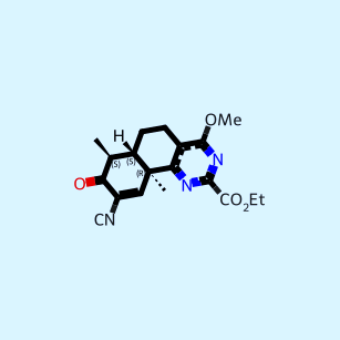 [C-]#[N+]C1=C[C@]2(C)c3nc(C(=O)OCC)nc(OC)c3CC[C@H]2[C@H](C)C1=O